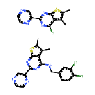 Cc1sc2nc(-c3cnccn3)nc(Cl)c2c1C.Cc1sc2nc(-c3cnccn3)nc(NCc3ccc(Cl)c(Cl)c3)c2c1C